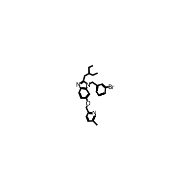 CCC(CC)Cc1nc2ccc(OCc3ccc(C)cn3)cc2n1Cc1cccc(Br)c1